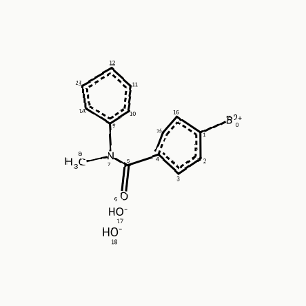 [B+2]c1ccc(C(=O)N(C)c2ccccc2)cc1.[OH-].[OH-]